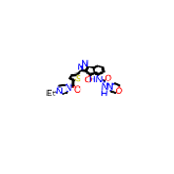 CCN1CCN(C(=O)c2ccc(C3=C4C(=O)c5c(NC(=O)NN6CCOCC6)cccc5C4N=N3)s2)CC1